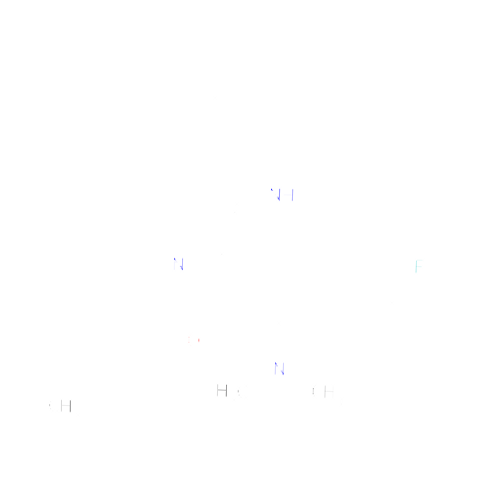 CCCCC(=O)N1CCc2c([nH]c3ccccc23)C12CCC(c1cccc(F)c1)(N(C)C)CC2